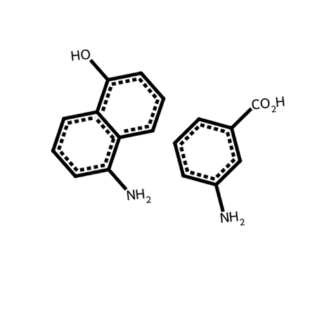 Nc1cccc(C(=O)O)c1.Nc1cccc2c(O)cccc12